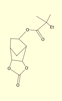 CCC(C)(C)C(=O)OC1CC2CC1C1OC(=O)OC21